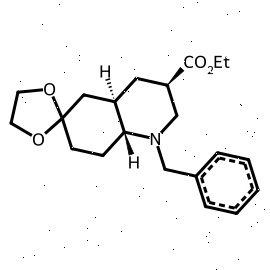 CCOC(=O)[C@@H]1C[C@@H]2CC3(CC[C@H]2N(Cc2ccccc2)C1)OCCO3